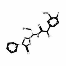 CC(C)C[C@H](NC(=O)C(Br)c1ccc(F)c([C]=O)c1)B1OC(=O)[C@H](c2ccccc2)O1